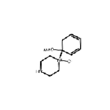 COC1([N+]2([O])CCNCC2)C=CC=CC1